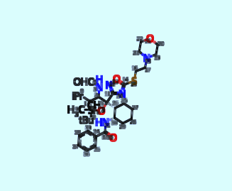 CC(C)CC(NC=O)C(O[Si](C)(C)C(C)(C)C)(c1noc(SCCN2CCOCC2)n1)[C@@H]1CCCC[C@@H]1NC(=O)c1ccccc1